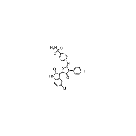 NS(=O)(=O)c1ccc(/N=C2\S/C(=C3\C(=O)Nc4ccc(Cl)cc43)C(=O)N2c2ccc(F)cc2)cc1